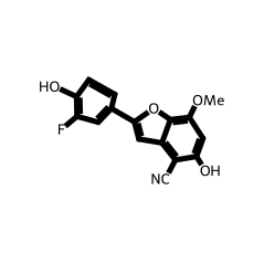 COc1cc(O)c(C#N)c2cc(-c3ccc(O)c(F)c3)oc12